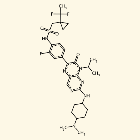 CC(C)n1c(=O)c(-c2ccc(NS(=O)(=O)CC3(C(C)(F)F)CC3)c(F)c2)nc2cnc(NC3CCC(N(C)C)CC3)nc21